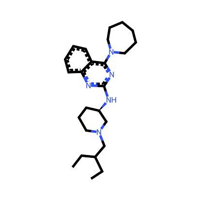 CCC(CC)CN1CCC[C@@H](Nc2nc(N3CCCCCC3)c3ccccc3n2)C1